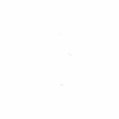 CC(CO)(Sc1cc2ccccc2[nH]1)c1ccccc1